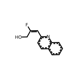 OC/C(F)=C\c1ccc2ccccc2n1